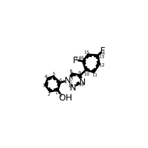 Oc1ccccc1-n1cc(-c2ccc(F)cc2F)nn1